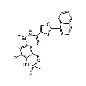 C[C@@H](NC(=O)c1coc(-c2cccc3ccccc23)n1)c1cc(F)c(NS(C)(=O)=O)c(F)c1